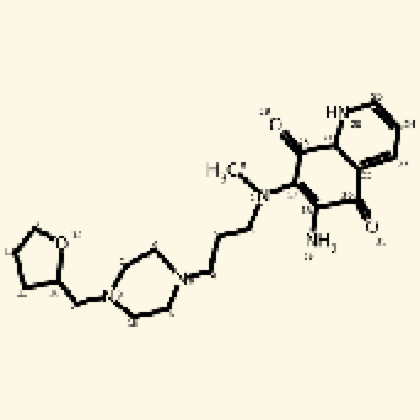 CN(CCCN1CCN(CC2CCCO2)CC1)C1=C(N)C(=O)C2=CC=CNC2C1=O